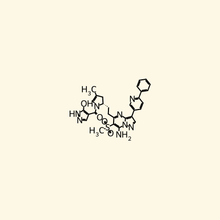 CC1=CN(C(=O)c2cn[nH]c2O)[C@@H](CCc2nc3c(-c4ccc(-c5ccccc5)nc4)cnn3c(N)c2S(C)(=O)=O)C1